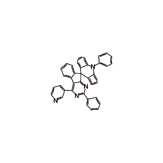 c1ccc(-c2nc(-c3cccnc3)c3c(n2)C2(c4ccccc4-3)c3ccccc3N(c3ccccc3)c3ccccc32)cc1